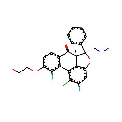 CNC[C@]1(c2ccccc2)Oc2cc(F)c(Cl)c3c2[C@@H]1C(=O)c1ccc(OCCO)c(F)c1-3